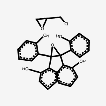 ClCC1CO1.Oc1ccccc1C1(c2ccccc2O)OC1(c1ccccc1O)c1ccccc1O